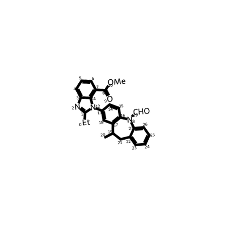 CCc1nc2cccc(C(=O)OC)c2n1-c1ccc2c(c1)C(C)Cc1ccccc1N2C=O